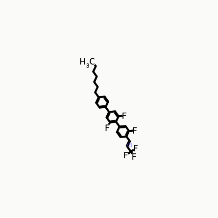 CCCCCCCc1ccc(-c2cc(F)c(-c3ccc(/C=C/C(F)(F)F)c(F)c3)c(F)c2)cc1